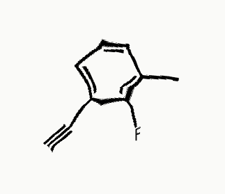 C#Cc1cccc(C)c1F